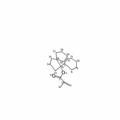 C=C(C)C(=O)OC1(C2CCCCC2)CCCC12CCCC2